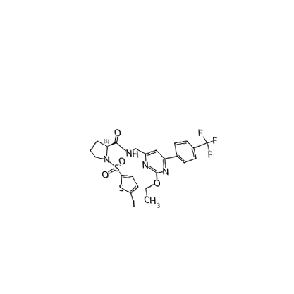 CCOc1nc(CNC(=O)[C@@H]2CCCN2S(=O)(=O)c2ccc(I)s2)cc(-c2ccc(C(F)(F)F)cc2)n1